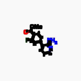 COC(=O)c1ccc(-c2cccnc2N)cc1F